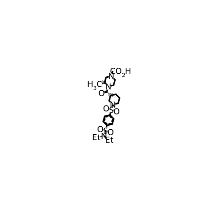 CCN(CC)S(=O)(=O)c1ccc(S(=O)(=O)N2CCC[C@@H](C(=O)N3CCN(C(=O)O)C[C@@H]3C)C2)cc1